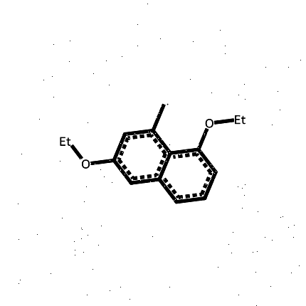 [CH2]c1cc(OCC)cc2cccc(OCC)c12